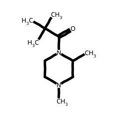 CC1CN(C)CCN1C(=O)C(C)(C)C